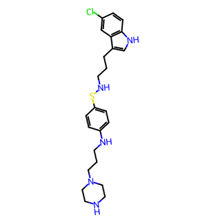 Clc1ccc2[nH]cc(CCCNSc3ccc(NCCCN4CCNCC4)cc3)c2c1